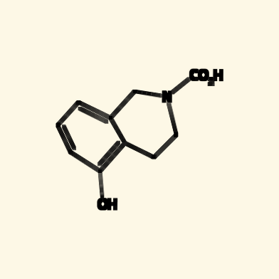 O=C(O)N1CCc2c(O)cccc2C1